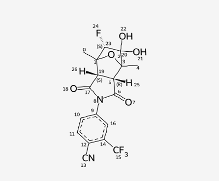 CC12OC(C)([C@@H]3C(=O)N(c4ccc(C#N)c(C(F)(F)F)c4)C(=O)[C@@H]31)C(O)(O)[C@H]2F